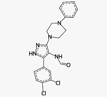 O=CNc1c(N2CCN(c3ccccc3)CC2)n[nH]c1-c1ccc(Cl)c(Cl)c1